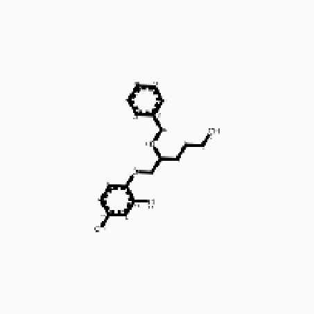 OCCCC(COc1ccc(Cl)cc1Cl)OCc1ccccc1